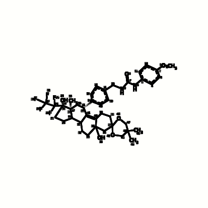 COc1ccc(NC(=O)NCc2ccc([C@H]3C[C@@]4(C)C(CC[C@@]4(O)C(F)(F)C(F)(F)F)C4CCC5(O)CC6(CCC5=C43)OCC(C)(C)CO6)cc2)cc1